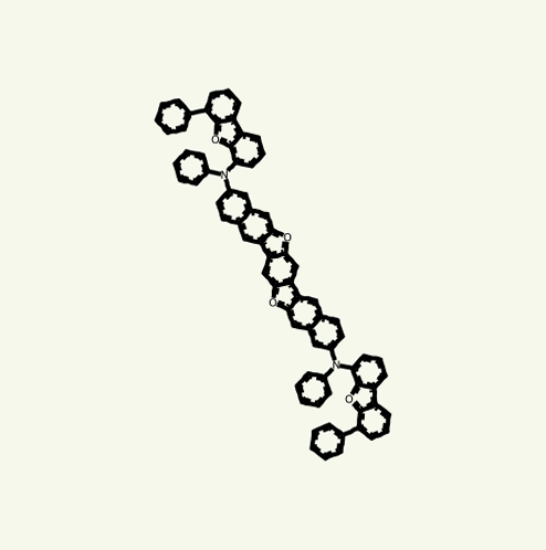 c1ccc(-c2cccc3c2oc2c(N(c4ccccc4)c4ccc5cc6c(cc5c4)oc4cc5c(cc46)oc4cc6cc(N(c7ccccc7)c7cccc8c7oc7c(-c9ccccc9)cccc78)ccc6cc45)cccc23)cc1